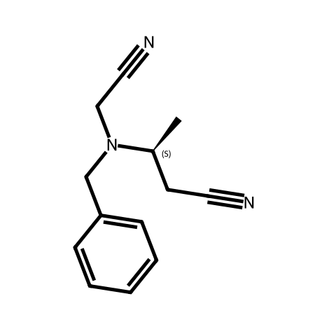 C[C@@H](CC#N)N(CC#N)Cc1ccccc1